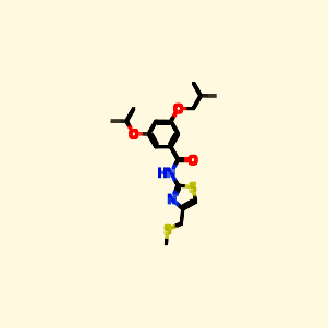 CSCc1csc(NC(=O)c2cc(OCC(C)C)cc(OC(C)C)c2)n1